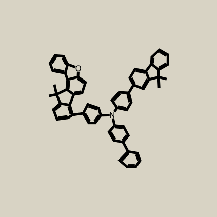 CC1(C)c2ccccc2-c2ccc(-c3ccc(N(c4ccc(-c5ccccc5)cc4)c4ccc(-c5cccc6c5-c5ccc7oc8ccccc8c7c5C6(C)C)cc4)cc3)cc21